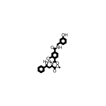 COC(=O)C(CC(=O)c1ccccc1)N(N)C(=O)c1ccc(C(=O)NCc2cccc(O)c2)cc1Cl